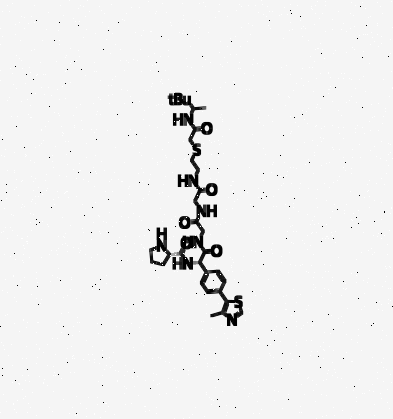 Cc1ncsc1-c1ccc([C@H](NC(=O)[C@@H]2CCCN2)C(=O)NCC(=O)NCC(=O)NCCSCC(=O)NC(C)C(C)(C)C)cc1